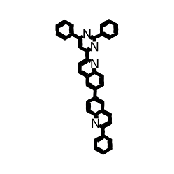 c1ccc(-c2cc(-c3ccc4cc(-c5ccc6nc(-c7ccccc7)ccc6c5)ccc4n3)nc(-c3ccccc3)n2)cc1